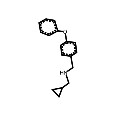 c1ccc(Oc2ccc(CNCC3CC3)cc2)cc1